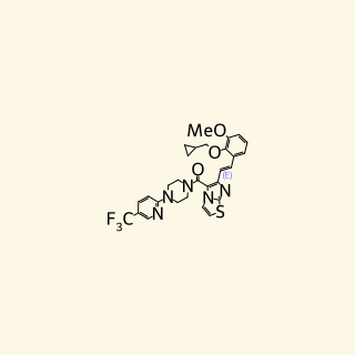 COc1cccc(/C=C/c2nc3sccn3c2C(=O)N2CCN(c3ccc(C(F)(F)F)cn3)CC2)c1OCC1CC1